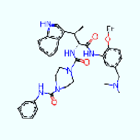 CCOc1ccc(CN(C)C)cc1NC(=O)[C@H](NC(=O)N1CCN(C(=O)Nc2ccccc2)CC1)[C@H](C)c1c[nH]c2ccccc12